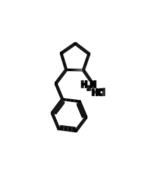 Cl.NC1CCCC1Cc1ccccc1